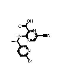 C[C@@H](Nc1ncc(C#N)nc1C(=O)O)c1ccc(Br)nc1